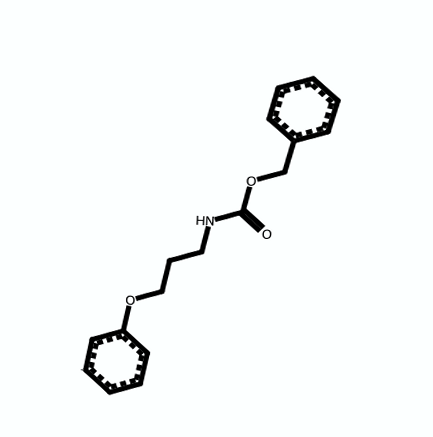 O=C(NCCCOc1c[c]ccc1)OCc1ccccc1